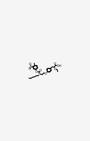 CCCCCCN(CCOc1ccc(CC(OCC)C(=O)O)cc1)C(=O)Oc1ccc(C)c([N+](=O)[O-])c1